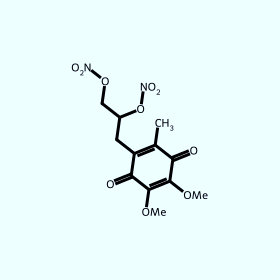 COC1=C(OC)C(=O)C(CC(CO[N+](=O)[O-])O[N+](=O)[O-])=C(C)C1=O